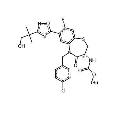 CC(C)(C)OC(=O)N[C@H]1CSc2cc(F)c(-c3nc(C(C)(C)CO)no3)cc2N(Cc2ccc(Cl)cc2)C1=O